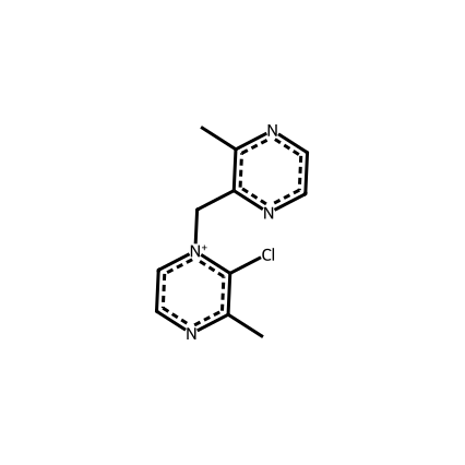 Cc1nccnc1C[n+]1ccnc(C)c1Cl